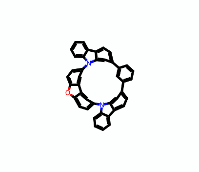 c1cc2cc(c1)c1ccc3c4ccccc4n(c4ccc5oc6ccc(cc6c5c4)n4c5ccccc5c5ccc2cc54)c3c1